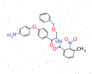 Cc1cccc(C(=O)NC(COCc2ccccc2)C(=O)c2ccc(Oc3ccc(N)cc3)cc2)c1[N+](=O)[O-]